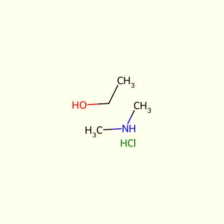 CCO.CNC.Cl